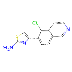 Nc1nc(-c2ccc3cnccc3c2Cl)cs1